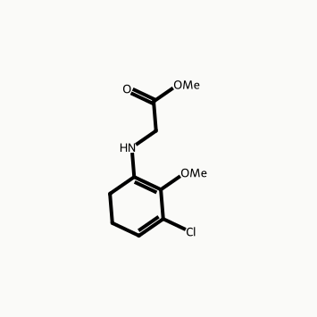 COC(=O)CNC1=C(OC)C(Cl)=CCC1